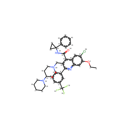 CCOc1cc2nc(-c3cccc(C(F)(F)F)c3)c(CN3CCC(N4CCCCC4)CC3)c(C(=O)NC3(c4ccccc4)CC3)c2cc1Cl